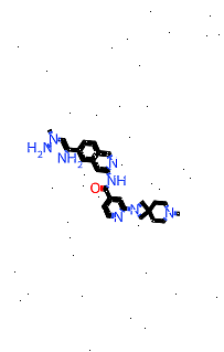 CN(N)/C=C(\N)c1ccc2cnc(NC(=O)c3ccnc(N4CC5(CCN(C)CC5)C4)c3)cc2c1